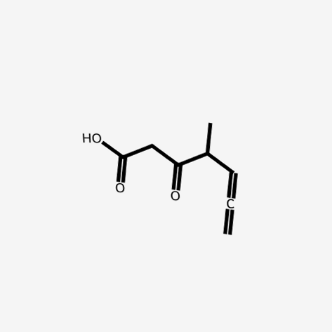 C=C=CC(C)C(=O)CC(=O)O